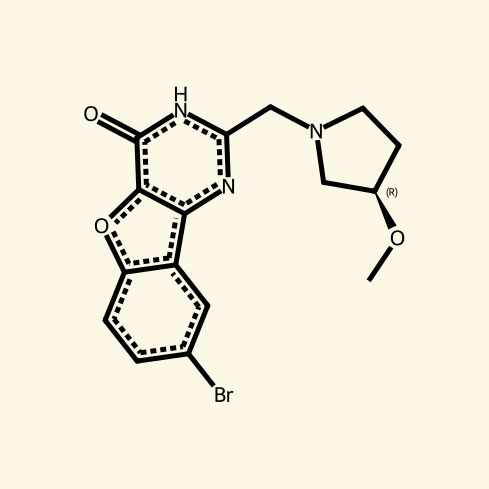 CO[C@@H]1CCN(Cc2nc3c(oc4ccc(Br)cc43)c(=O)[nH]2)C1